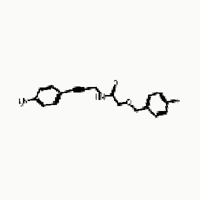 Nc1ccc(C#CCNC(=O)COCc2ccc(F)cc2)cc1